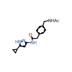 CC(=O)NCc1ccc(CC(=O)Nc2cc(C3CC3)[nH]n2)cc1